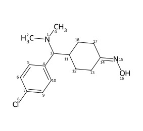 CN(C)C(c1ccc(Cl)cc1)C1CCC(=NO)CC1